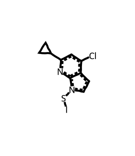 Clc1cc(C2CC2)nc2c1ccn2SI